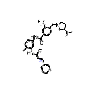 Cc1ccc(NC(=O)c2ccc(CN3CCC(N(C)C)C3)c(C(F)(F)F)c2)cc1NC(=O)/C=C/c1cccnc1